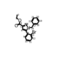 CCOC(=O)c1cc(-c2ccccc2Br)n(Cc2ccccc2)n1